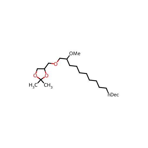 CCCCCCCCCCCCCCCCCCC(COCC1COC(C)(C)O1)OC